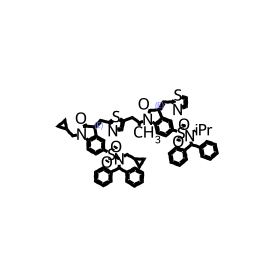 CC(Cc1cnc(/C=C2/C(=O)N(CC3CC3)c3ccc(S(=O)(=O)N(CC4CC4)C(c4ccccc4)c4ccccc4)cc32)s1)N1C(=O)/C(=C/c2nccs2)c2cc(S(=O)(=O)N(C(C)C)C(c3ccccc3)c3ccccc3)ccc21